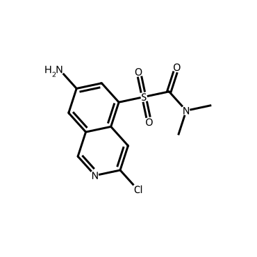 CN(C)C(=O)S(=O)(=O)c1cc(N)cc2cnc(Cl)cc12